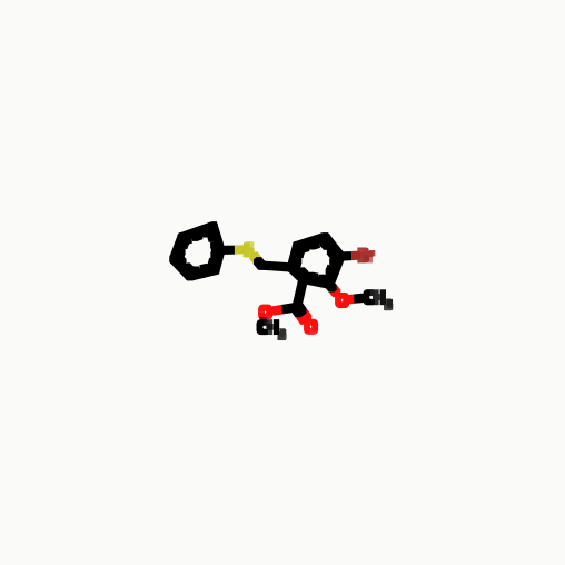 COC(=O)c1c(CSc2ccccc2)ccc(Br)c1OC